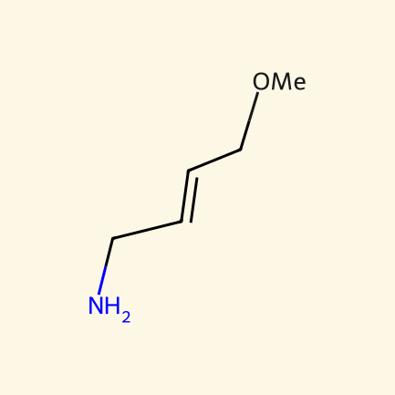 COCC=CCN